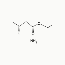 CCOC(=O)CC(C)=O.N